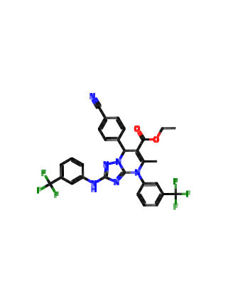 CCOC(=O)C1=C(C)N(c2cccc(C(F)(F)F)c2)c2nc(Nc3cccc(C(F)(F)F)c3)nn2C1c1ccc(C#N)cc1